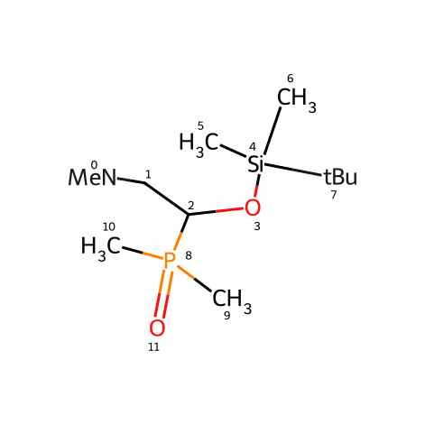 CNCC(O[Si](C)(C)C(C)(C)C)P(C)(C)=O